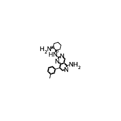 Cc1cccc(-c2cnc(N)c3cnc(N[C@@H]4CCCC[C@@H]4N)nc23)c1